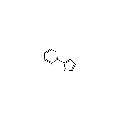 [c]1ccccc1-c1ccco1